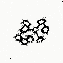 c1ccc(-c2nc(-c3ccccc3-c3ccccc3)nc(-c3cc(-c4cccc5ccc6ccccc6c45)cc4ccccc34)n2)cc1